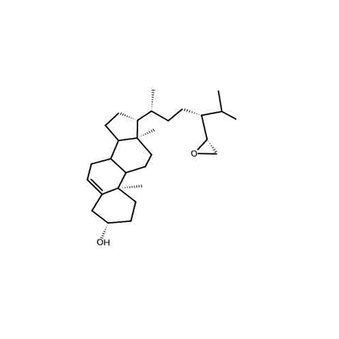 CC(C)[C@@H](CC[C@@H](C)[C@H]1CCC2C3CC=C4C[C@@H](O)CC[C@]4(C)C3CC[C@@]21C)[C@@H]1CO1